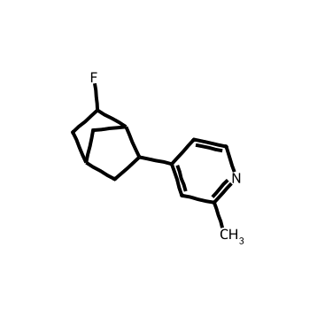 Cc1cc(C2CC3CC(F)C2C3)ccn1